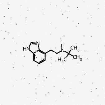 CC(C)(C)NCCc1cccc2[nH]cnc12